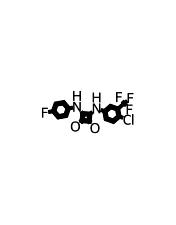 O=c1c(Nc2ccc(F)cc2)c(Nc2ccc(Cl)c(C(F)(F)F)c2)c1=O